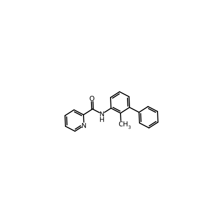 Cc1c(NC(=O)c2ccccn2)cccc1-c1ccccc1